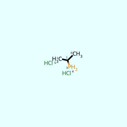 CC(C)P.Cl.Cl